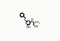 C[C@H](CO)Nc1cc(O)nc(SCc2ccccc2)n1